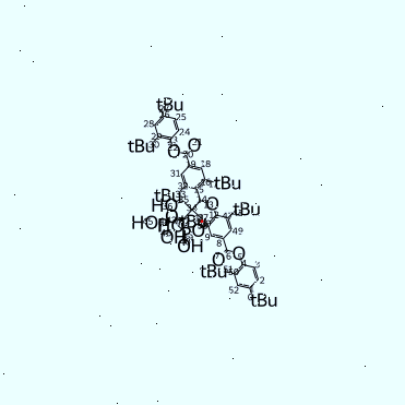 CC(C)(C)c1ccc(OC(=O)c2cc(C(C)(C)C)c(OC(c3c(C(C)(C)C)cc(C(=O)Oc4ccc(C(C)(C)C)cc4C(C)(C)C)cc3C(C)(C)C)C(CO)(COP(O)O)COP(O)O)c(C(C)(C)C)c2)c(C(C)(C)C)c1